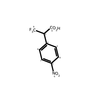 O=C(O)C(c1ccc([N+](=O)[O-])cc1)C(F)(F)F